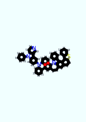 C1=Cc2cc3ccc4sc5ccccc5c4c3c3c4ccccc4n(c23)-c2ccc(-c3ccccc3N(c3ccccc3)c3ccc4c(c3)c3cnccc3n4-c3ccccc3)cc21